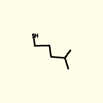 CC(C)CCCS